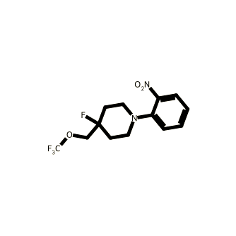 O=[N+]([O-])c1ccccc1N1CCC(F)(COC(F)(F)F)CC1